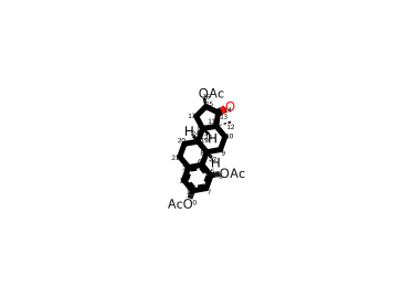 CC(=O)Oc1cc2c(c(OC(C)=O)c1)[C@H]1CC[C@]3(C)C(=O)[C@H](OC(C)=O)C[C@H]3[C@H]1CC2